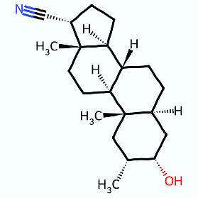 C[C@@H]1C[C@@]2(C)[C@@H](CC[C@@H]3[C@@H]2CC[C@]2(C)[C@H](C#N)CC[C@@H]32)C[C@@H]1O